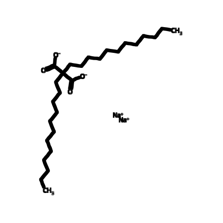 CCCCCCCCCCCCC(CCCCCCCCCCCC)(C(=O)[O-])C(=O)[O-].[Na+].[Na+]